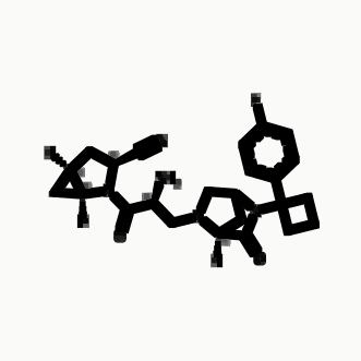 N#C[C@@H]1C[C@@H]2C[C@@H]2N1C(=O)[C@@H](N)CN1CC2C[C@H]1C(=O)N2C1(c2ccc(F)cc2)CCC1